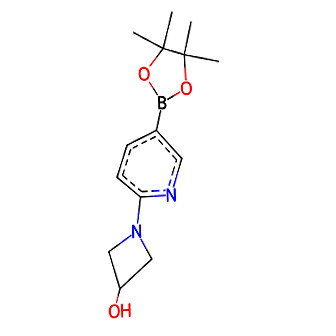 CC1(C)OB(c2ccc(N3CC(O)C3)nc2)OC1(C)C